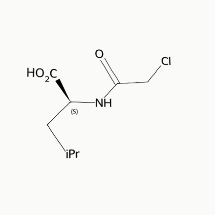 CC(C)C[C@H](NC(=O)CCl)C(=O)O